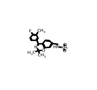 Cc1cc(C2=NC(C)(C)Oc3cc(CN[SH](=O)=O)ccc32)ccc1F